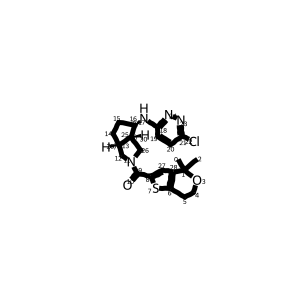 CC1(C)OCCc2sc(C(=O)N3C[C@@H]4CC[C@@H](Nc5ccc(Cl)nn5)[C@@H]4C3)cc21